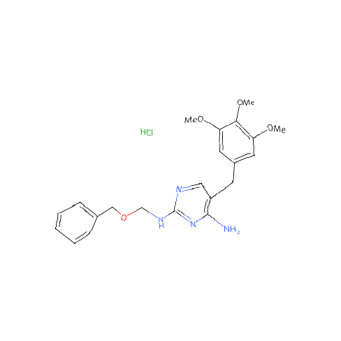 COc1cc(Cc2cnc(NCOCc3ccccc3)nc2N)cc(OC)c1OC.Cl